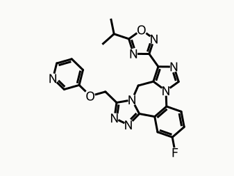 CC(C)c1nc(-c2ncn3c2Cn2c(COc4cccnc4)nnc2-c2cc(F)ccc2-3)no1